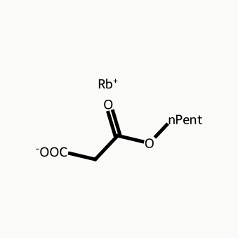 CCCCCOC(=O)CC(=O)[O-].[Rb+]